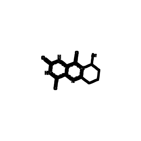 CC(=O)C1CCCc2nc3c(=O)[nH]c(=O)[nH]c3c(=O)n21